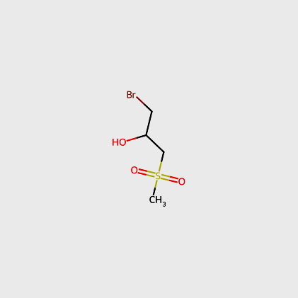 CS(=O)(=O)CC(O)CBr